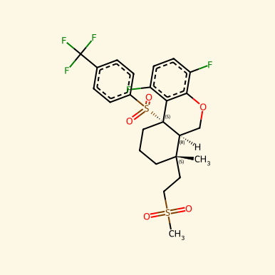 C[C@@]1(CCS(C)(=O)=O)CCC[C@@]2(S(=O)(=O)c3ccc(C(F)(F)F)cc3)c3c(F)ccc(F)c3OC[C@@H]12